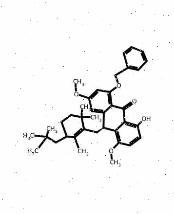 COc1cc(OCc2ccccc2)c2c(c1)[C@H](CC1=C(C)C(CC(C)(C)C)CCC1(C)C)c1c(OC)ccc(O)c1C2=O